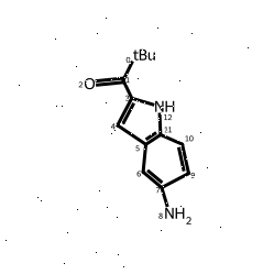 CC(C)(C)C(=O)c1cc2cc(N)ccc2[nH]1